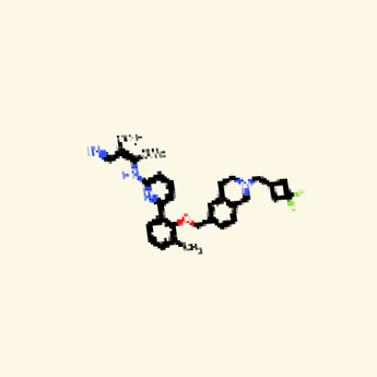 CO/C(Nc1cccc(-c2cccc(C)c2OCc2ccc3c(c2)CCN(CC2CC(F)(F)C2)C3)n1)=C(/C=N)C(=O)O